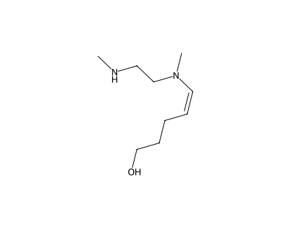 CNCCN(C)/C=C\CCCO